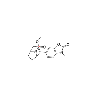 COC(=O)N1C2CC=C(c3ccc4c(c3)oc(=O)n4C)C1CC2